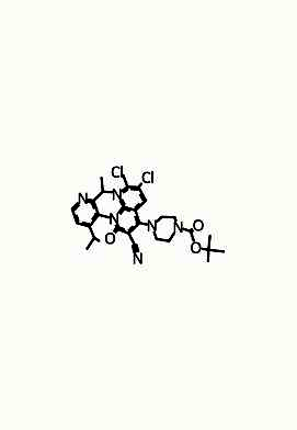 CC(C)c1ccnc(C(C)C)c1-n1c(=O)c(C#N)c(N2CCN(C(=O)OC(C)(C)C)CC2)c2cc(Cl)c(Cl)nc21